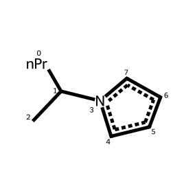 [CH2]CCC(C)n1cccc1